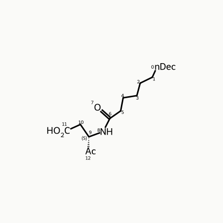 CCCCCCCCCCCCCCCC(=O)N[C@@H](CC(=O)O)C(C)=O